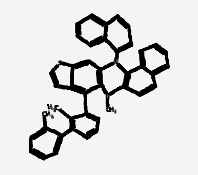 CB1c2ccc3ccccc3c2N(c2cccc3ccccc23)c2cc3sccc3c(-c3cccc(-c4ccccc4C)c3C)c21